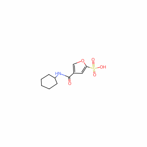 O=C(NC1CCCCC1)c1coc(S(=O)(=O)O)c1